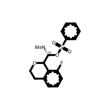 CN[C@H](OS(=O)(=O)c1ccccc1)C1OCCc2cccc(F)c21